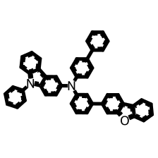 c1ccc(-c2ccc(N(c3cccc(-c4ccc5c(c4)oc4ccccc45)c3)c3ccc4c(c3)c3ccccc3n4-c3ccccc3)cc2)cc1